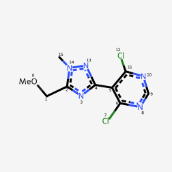 COCc1nc(-c2c(Cl)ncnc2Cl)nn1C